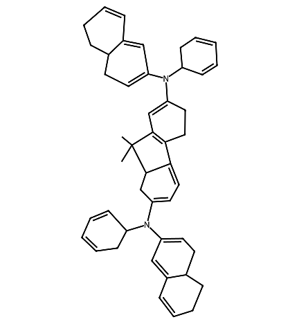 CC1(C)C2=C(CCC(N(C3=CCC4CCC=CC4=C3)C3C=CC=CC3)=C2)C2=CC=C(N(C3=CCC4CCC=CC4=C3)C3C=CC=CC3)CC21